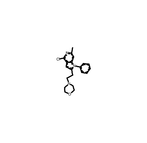 Cc1cc2c(cc(CCN3CCOCC3)n2-c2ccccc2)c(Cl)n1